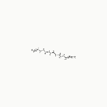 C=CCCCCCCCCCCCC(C)CCC